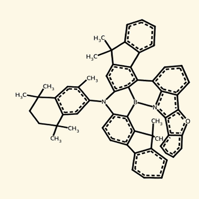 Cc1cc2c(cc1N1c3cc4c(c5c3B(c3c1ccc1c3C(C)(C)c3ccccc3-1)n1c3c-5cccc3c3oc5ccccc5c31)-c1ccccc1C4(C)C)C(C)(C)CCC2(C)C